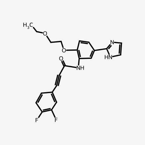 CCOCCOc1ccc(-c2ncc[nH]2)cc1NC(=O)C#Cc1ccc(F)c(F)c1